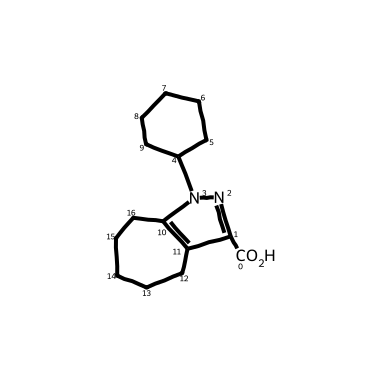 O=C(O)c1nn(C2CCCCC2)c2c1CCCCC2